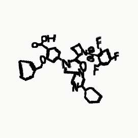 O=C(O)c1ccc(N(Cc2cnc(C3CCCCC3)cn2)C(=O)C2CCN2S(=O)(=O)c2c(F)cc(F)cc2F)cc1OCc1ccccc1